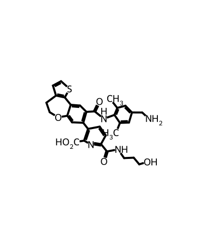 Cc1cc(CN)cc(C)c1NC(=O)c1cc2c(cc1-c1ccc(C(=O)NCCCO)nc1C(=O)O)OCCc1ccsc1-2